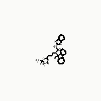 CCC(c1ccccc1)(c1ccccc1)N(CCCC(=O)OC(C)(C)C)C(=O)Nc1nc2ccccc2s1